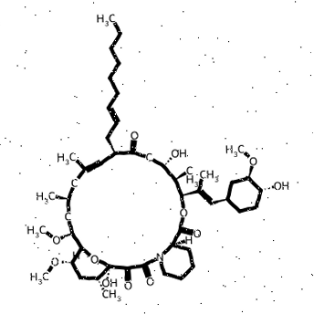 CCCCCC/C=C/C[C@@H]1/C=C(\C)C[C@H](C)C[C@H](OC)[C@H]2O[C@@](O)(C(=O)C(=O)N3CCCC[C@H]3C(=O)O[C@H](/C(C)=C/[C@@H]3CC[C@@H](O)[C@H](OC)C3)[C@H](C)[C@@H](O)CC1=O)[C@H](C)C[C@@H]2OC